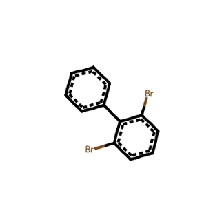 Brc1cccc(Br)c1-c1c[c]ccc1